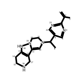 C=C(C)c1ncc(C(C)N2C=C3C4=C(CCNC4)NN3CC2)cn1